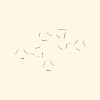 CC1(C)c2ccccc2-c2c1ccc1c(-c3cccc(-c4nc(-c5ccccc5)nc(-c5ccccc5)n4)c3)cccc21